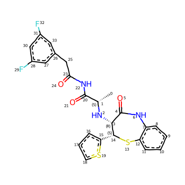 C[C@H](N[C@@H]1C(=O)Nc2ccccc2S[C@@H]1c1cccs1)C(=O)NC(=O)Cc1cc(F)cc(F)c1